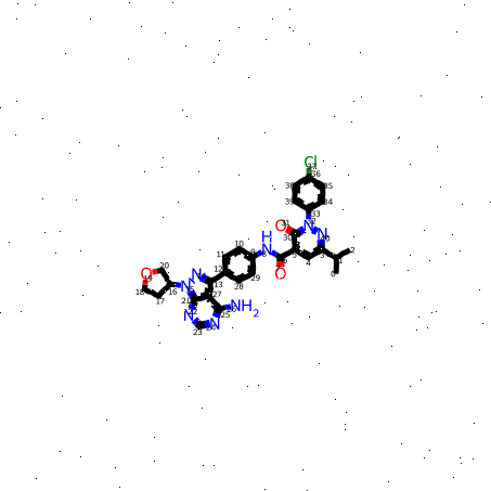 CC(C)c1cc(C(=O)Nc2ccc(-c3nn(C4CCOC4)c4ncnc(N)c34)cc2)c(=O)n(-c2ccc(Cl)cc2)n1